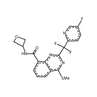 CSc1nc(C(F)(F)c2ccc(F)cn2)nc2c(C(=O)NC3COC3)cccc12